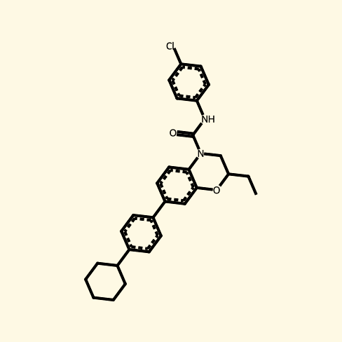 CCC1CN(C(=O)Nc2ccc(Cl)cc2)c2ccc(-c3ccc(C4CCCCC4)cc3)cc2O1